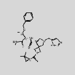 CNC(=O)[C@@H](NC(=O)[C@@H]1CN(Cc2cnc[nH]2)CC12CN(C(=O)[C@H]1CC1(C)C)C2)[C@@H](C)OCc1ccccc1